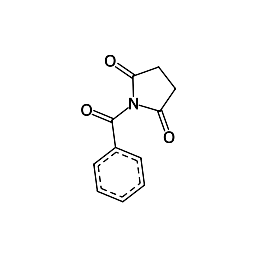 O=C1CCC(=O)N1C(=O)c1ccccc1